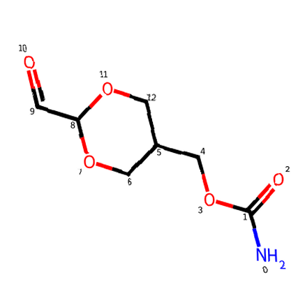 NC(=O)OCC1COC(C=O)OC1